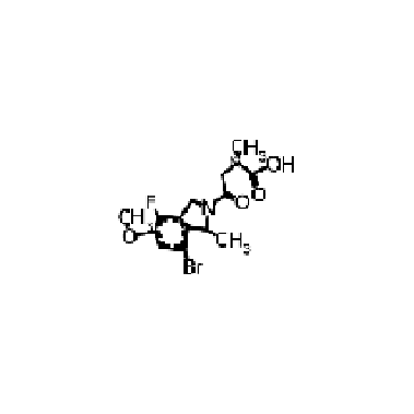 COc1cc(Br)c2c(c1F)CN(C(=O)C[C@H](C)C(=O)O)C2C